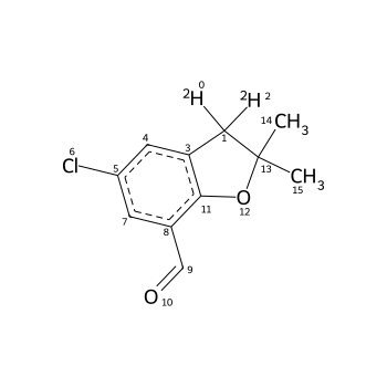 [2H]C1([2H])c2cc(Cl)cc(C=O)c2OC1(C)C